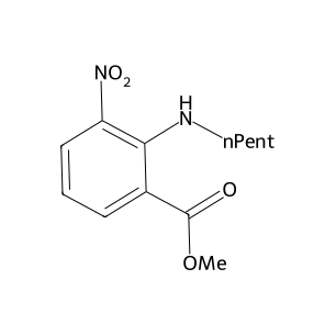 CCCCCNc1c(C(=O)OC)cccc1[N+](=O)[O-]